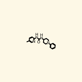 Cc1ccc(NC(=O)NC2CCN(c3ccccc3)CC2)nc1